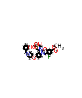 COC(=O)c1ccc(CN(C(=O)N2CCS(O)(O)CC2)c2ccc(OC3CCN(Cc4ccccc4)CC3)cc2)c(F)c1